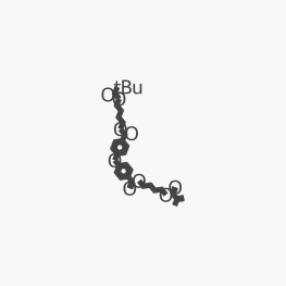 C=C(C)C(=O)OCCCCOC(=O)c1ccc(Oc2ccc(C(=O)OCCCCOC(=O)C(C)(C)C)cc2)cc1